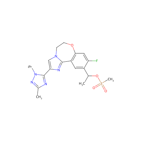 Cc1nc(-c2cn3c(n2)-c2cc(C(C)OS(C)(=O)=O)c(F)cc2OCC3)n(C(C)C)n1